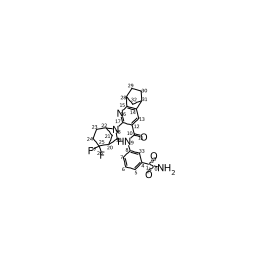 NS(=O)(=O)c1cccc(NC(=O)c2cc3c(nc2N2CC4CC2CCC4(F)F)C2CCC3C2)c1